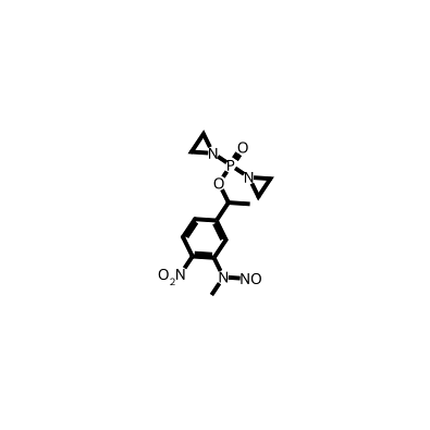 CC(OP(=O)(N1CC1)N1CC1)c1ccc([N+](=O)[O-])c(N(C)N=O)c1